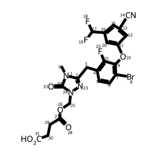 Cn1c(Cc2ccc(Br)c(Oc3cc(C#N)cc(C(F)F)c3)c2F)nn(COC(=O)CCC(=O)O)c1=O